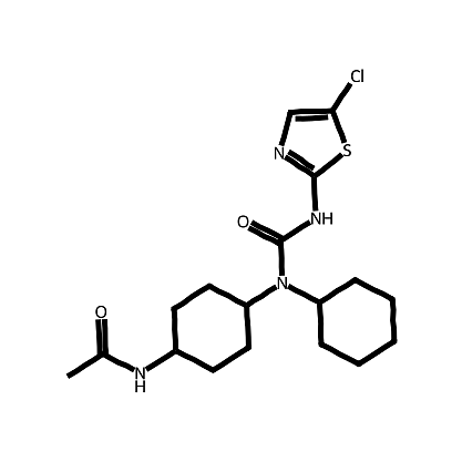 CC(=O)NC1CCC(N(C(=O)Nc2ncc(Cl)s2)C2CCCCC2)CC1